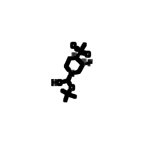 CC(C)(C)OC(O)N1CC[C@@H](S(C)(=O)=O)[C@H](F)C1